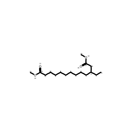 CCC(CCCCCCCCCC(=O)OC)CC(=O)OC